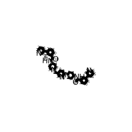 O=C(NC1CCN(c2ccc(CN3CCC(NC(=O)c4cccc(-c5cccnc5)c4F)CC3)cn2)CC1)c1cccc(-c2cccnc2)c1